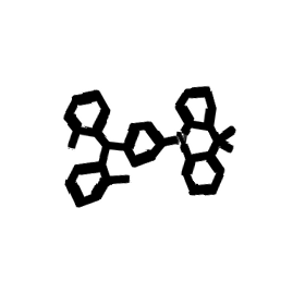 Cc1ccccc1C(c1ccc(N2c3ccccc3C(C)(C)c3ccccc32)cc1)c1ccccc1C